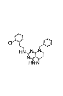 Clc1ccccc1CCNc1nc2c3c(n[nH]c3n1)CCN2Cc1ccccc1